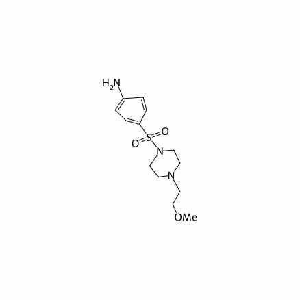 COCCN1CCN(S(=O)(=O)c2ccc(N)cc2)CC1